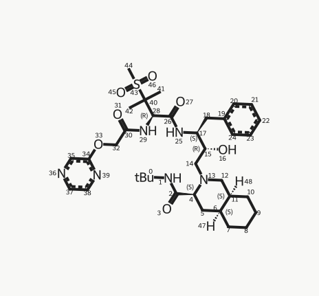 CC(C)(C)NC(=O)[C@@H]1C[C@@H]2CCCC[C@@H]2CN1C[C@@H](O)[C@H](Cc1ccccc1)NC(=O)[C@@H](NC(=O)COc1cnccn1)C(C)(C)S(C)(=O)=O